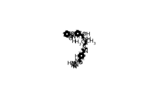 CC(C)(CCn1cnc(-c2ccc(C(=O)Nc3nnn[nH]3)cc2)c1)NC[C@H](O)c1cccc(NS(=O)(=O)c2ccccc2)c1